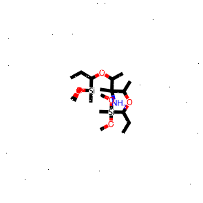 CCC(OC(C)C(C)(N)C(C)OC(CC)[Si](C)(OC)OC)[Si](C)(OC)OC